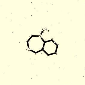 CN1CCOCC2CCCCC21